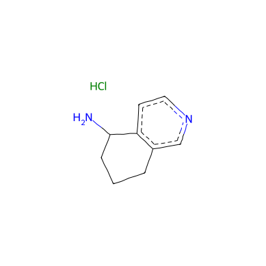 Cl.NC1CCCc2cnccc21